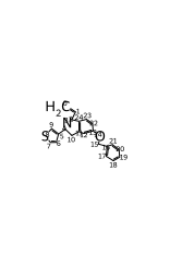 C=CC1=NC(c2ccsc2)Cc2cc(OCc3ccccc3)ccc21